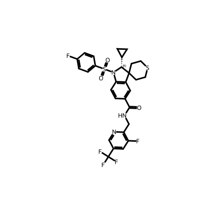 O=C(NCc1ncc(C(F)(F)F)cc1F)c1ccc2c(c1)C1(CCSCC1)[C@@H](C1CC1)N2S(=O)(=O)c1ccc(F)cc1